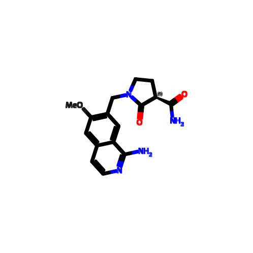 COc1cc2ccnc(N)c2cc1CN1CC[C@@H](C(N)=O)C1=O